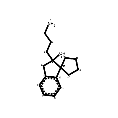 NCCCC1(O)Cc2ccccc2C12CCCC2